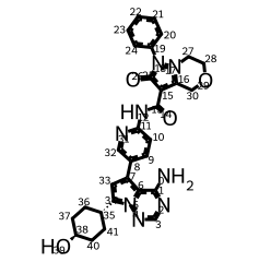 Nc1ncnn2c1c(-c1ccc(NC(=O)c3c4n(n(-c5ccccc5)c3=O)CCOC4)nc1)cc2[C@H]1CC[C@H](O)CC1